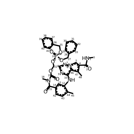 CNC(=O)c1cn2ncnc(Nc3cc(C(=O)N(C)C(=O)OCOP(=O)(OCc4ccccc4)OCc4ccccc4)ccc3C)c2c1C